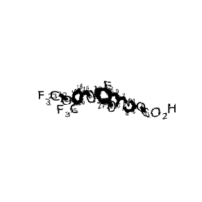 O=C(O)O[C@H]1CCCN(CC2=Cc3c(F)cc(OCc4ccc(OCC(F)(F)F)c(C(F)(F)F)c4)cc3OC2)C1